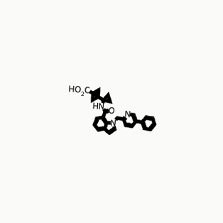 O=C(NC1(C23CC2(C(=O)O)C3)CC1)c1cccc2ccn(Cc3ccc(-c4ccccc4)cn3)c12